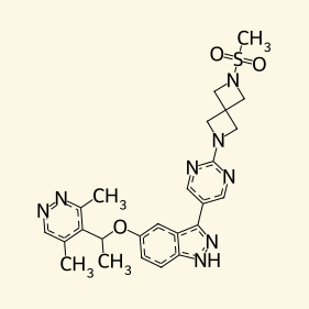 Cc1cnnc(C)c1C(C)Oc1ccc2[nH]nc(-c3cnc(N4CC5(C4)CN(S(C)(=O)=O)C5)nc3)c2c1